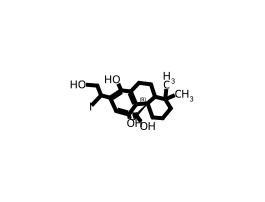 CC1(C)CCC[C@]2(C(=O)O)c3c(O)cc(C(I)CO)c(O)c3CCC12